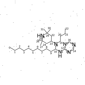 CCCCCCCCCCC(Nc1ncncn1)N(CCCC)C1CC(C)(C)NC(C)(C)C1